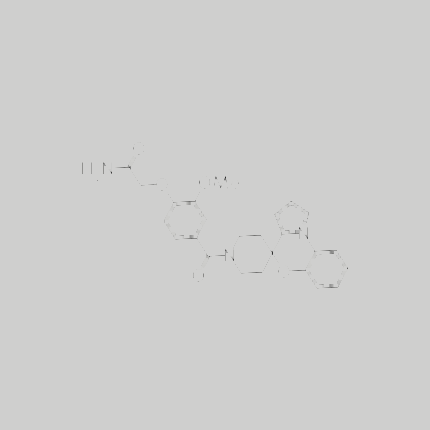 COc1cc(C(=O)N2CCC3(CC2)Oc2ccccc2-n2cccc23)ccc1OCC(N)=O